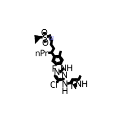 CCCC(CC/C=C\S(=O)(=O)C1CC1)c1cc(F)c(Nc2ncc(Cl)c(Nc3cc(C)[nH]n3)n2)cc1C